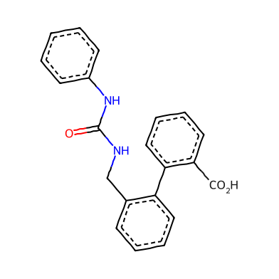 O=C(NCc1ccccc1-c1ccccc1C(=O)O)Nc1ccccc1